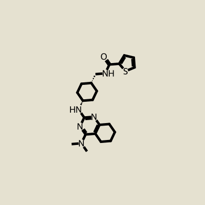 CN(C)c1nc(N[C@H]2CC[C@@H](CNC(=O)c3cccs3)CC2)nc2c1CCCC2